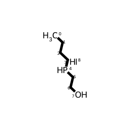 CCCCPCCO.I